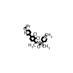 CC(C)Oc1ccc(-c2ccc(C(C)NC(=O)N(C)C3CCN(C)CC3)c(Cl)c2Cl)cn1